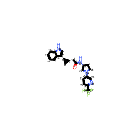 O=C(C[C@@H]1C[C@@H]1c1c[nH]c2ccccc12)N[C@@H]1CCN(c2ccc(C(F)(F)F)nc2)C1